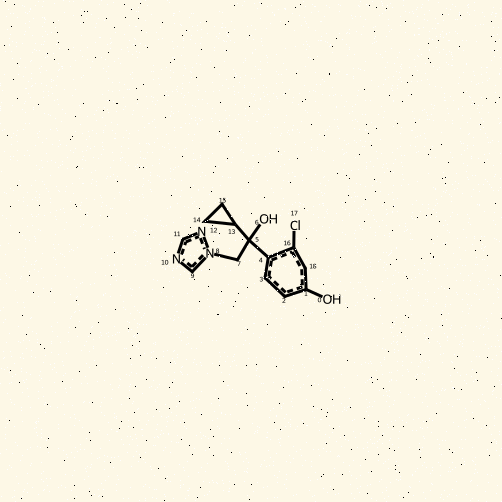 Oc1ccc(C(O)(Cn2cncn2)C2CC2)c(Cl)c1